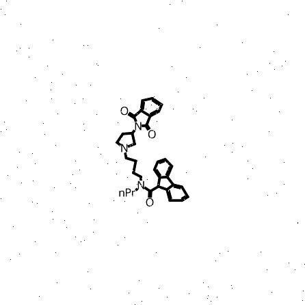 CCCN(CCCCN1CCC(N2C(=O)c3ccccc3C2=O)C1)C(=O)C1c2ccccc2-c2ccccc21